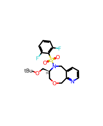 CC(C)(C)OC[C@@H]1COCc2ncccc2CN1S(=O)(=O)c1c(F)cccc1F